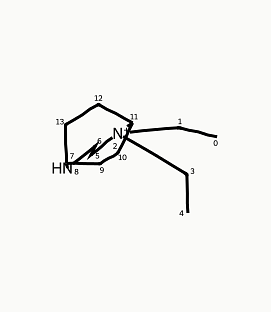 CC[N+]1(CC)CCNC2CCC1CC2